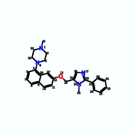 CN1CCN(c2cccc3ccc(OCc4cnc(-c5ccccc5)n4C)cc23)CC1